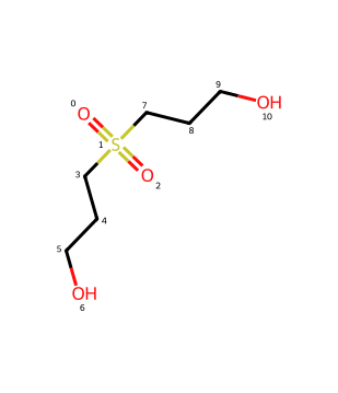 O=S(=O)(CCCO)CCCO